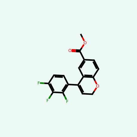 COC(=O)c1ccc2c(c1)C(c1ccc(F)c(F)c1F)=CCO2